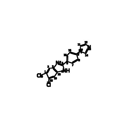 Clc1cc2nc(-c3ccc(-n4ccnc4)cc3)[nH]c2cc1Cl